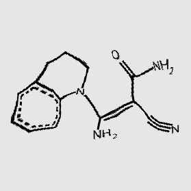 N#CC(C(N)=O)=C(N)N1CCCc2ccccc21